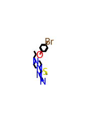 CSC(=NC#N)N1CCN(CC(C)Oc2ccc(Br)cc2)CC1